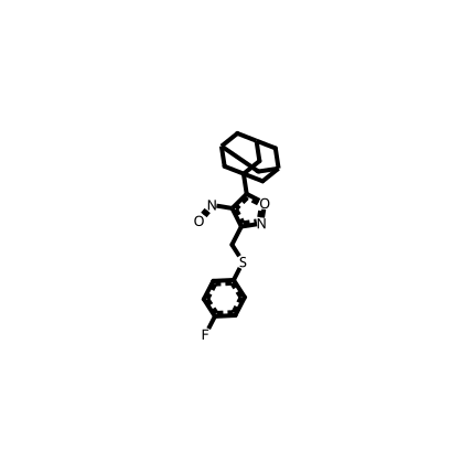 O=Nc1c(CSc2ccc(F)cc2)noc1C12CC3CC(CC(C3)C1)C2